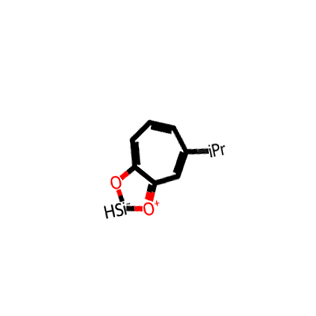 CC(C)C1=CC2=[O+][SiH-]OC2=CC=C1